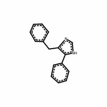 c1ccc(Cc2nc[nH]c2-c2ccccc2)cc1